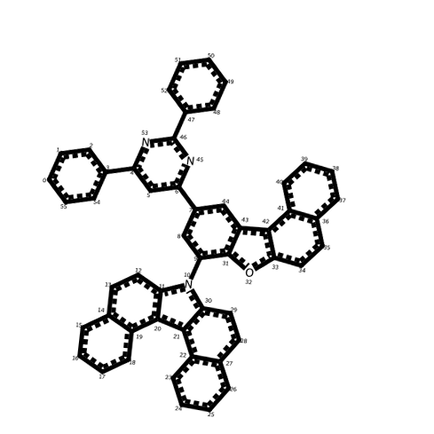 c1ccc(-c2cc(-c3cc(-n4c5ccc6ccccc6c5c5c6ccccc6ccc54)c4oc5ccc6ccccc6c5c4c3)nc(-c3ccccc3)n2)cc1